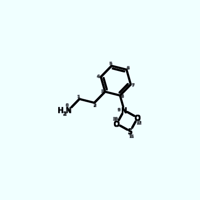 NCCc1ccccc1N1OSO1